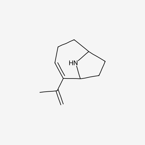 C=C(C)C1=CCCC2CCC1N2